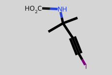 CC(C)(C#CI)NC(=O)O